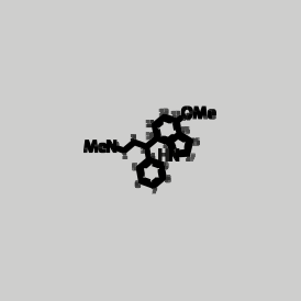 CNCCC(c1ccccc1)c1ccc(OC)c2cc[nH]c12